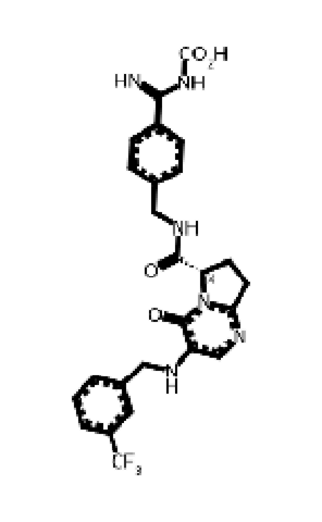 N=C(NC(=O)O)c1ccc(CNC(=O)[C@@H]2CCc3ncc(NCc4cccc(C(F)(F)F)c4)c(=O)n32)cc1